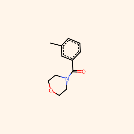 Cc1cc[c]c(C(=O)N2CCOCC2)c1